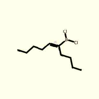 CCCC/C=C(\CCCC)B(Cl)Cl